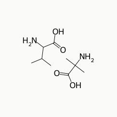 CC(C)(N)C(=O)O.CC(C)C(N)C(=O)O